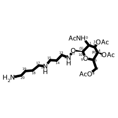 CC(=O)NC1C(OC(C)=O)[C@@H](OC(C)=O)C(COC(C)=O)O[C@H]1ONCCCNCCCCN